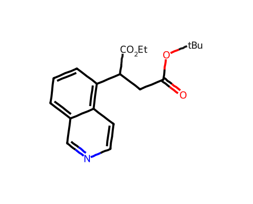 CCOC(=O)C(CC(=O)OC(C)(C)C)c1cccc2cnccc12